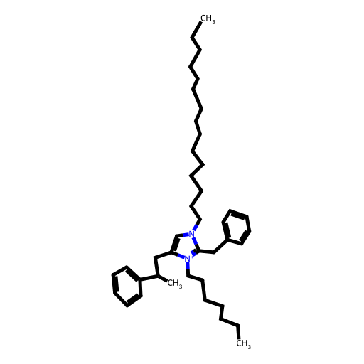 CCCCCCCCCCCCCCCn1cc(CC(C)c2ccccc2)[n+](CCCCCCC)c1Cc1ccccc1